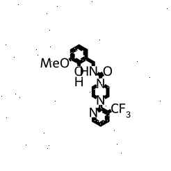 COc1cccc(CNC(=O)N2CCN(c3ncccc3C(F)(F)F)CC2)c1O